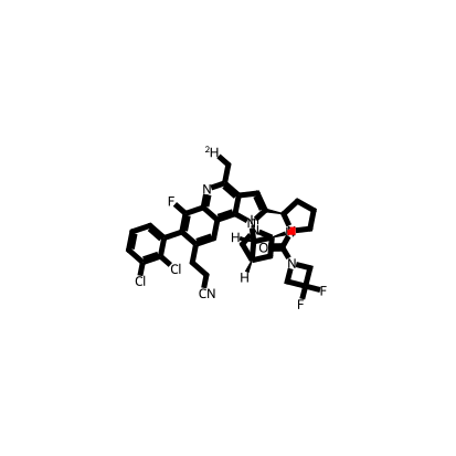 [2H]Cc1nc2c(F)c(-c3cccc(Cl)c3Cl)c(CCC#N)cc2c2c1cc([C@H]1CCCN1C(=O)N1CC(F)(F)C1)n2[C@H]1[C@H]2CN[C@@H]1C2